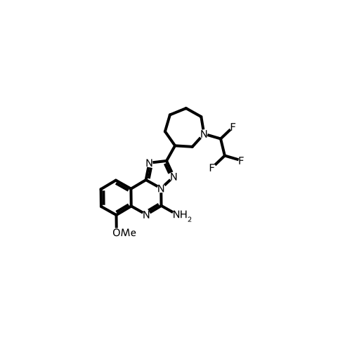 COc1cccc2c1nc(N)n1nc(C3CCCCN(C(F)C(F)F)C3)nc21